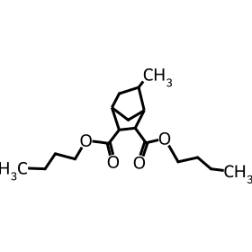 CCCCOC(=O)C1C2CC(C)C(C2)C1C(=O)OCCCC